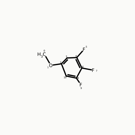 COc1cc(F)c(F)c(F)c1